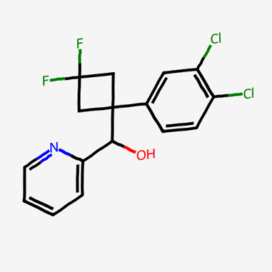 OC(c1ccccn1)C1(c2ccc(Cl)c(Cl)c2)CC(F)(F)C1